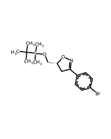 CC(C)(C)[Si](C)(C)OC[C@H]1CC(c2ccc(Br)cc2)=NO1